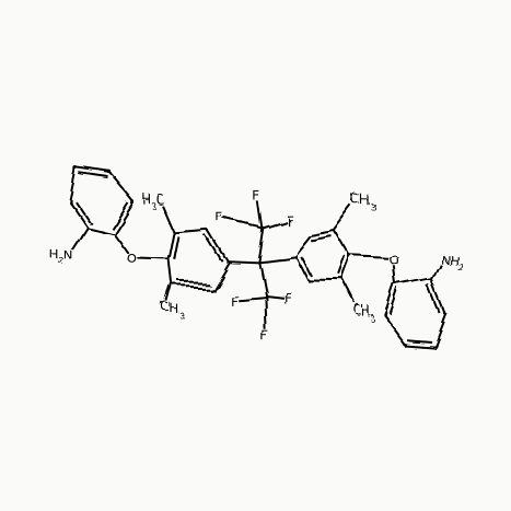 Cc1cc(C(c2cc(C)c(Oc3ccccc3N)c(C)c2)(C(F)(F)F)C(F)(F)F)cc(C)c1Oc1ccccc1N